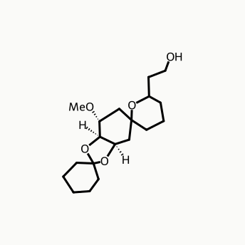 CO[C@@H]1CC2(CCCC(CCO)O2)C[C@H]2OC3(CCCCC3)O[C@@H]12